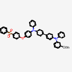 COc1cccc(N(c2ccccc2)c2ccc(-c3ccc(N(c4ccccc4)c4ccc(Oc5ccc(S(=O)(=O)c6ccc(C)cc6)cc5)cc4)cc3)cc2)c1